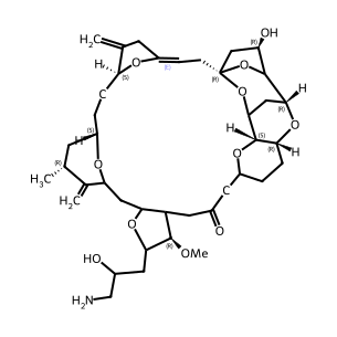 C=C1C2CC3OC(CC(O)CN)[C@H](OC)C3CC(=O)CC3CC[C@H]4O[C@@H]5CC(O[C@@]6(C/C=C7\CC(=C)[C@H](CC[C@@H](C[C@H]1C)O2)O7)C[C@@H](O)C5O6)[C@H]4O3